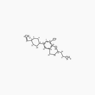 C=CC1CCC(c2cc(Cl)c3c(c2)CCC(CCC)O3)CC1